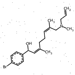 C=CCN(C)CC(C)=CCCC(C)=CC(O)c1ccc(Br)cc1